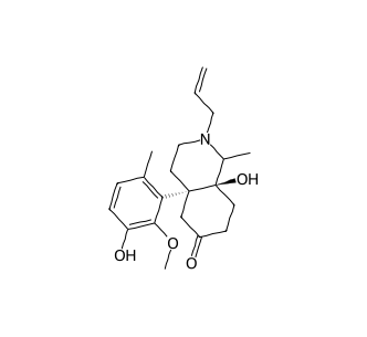 C=CCN1CC[C@]2(c3c(C)ccc(O)c3OC)CC(=O)CC[C@@]2(O)C1C